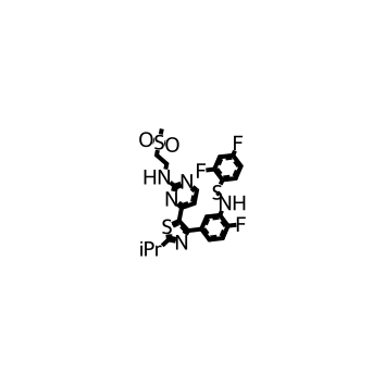 CC(C)c1nc(-c2ccc(F)c(NSc3ccc(F)cc3F)c2)c(-c2ccnc(NCCS(C)(=O)=O)n2)s1